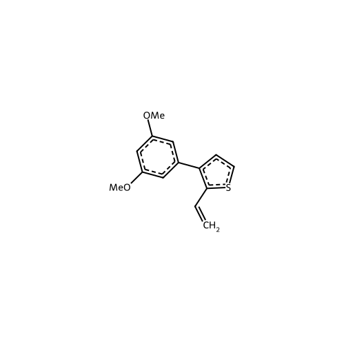 C=Cc1sccc1-c1cc(OC)cc(OC)c1